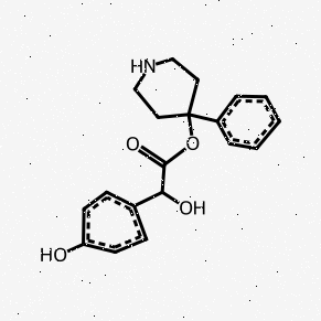 O=C(OC1(c2ccccc2)CCNCC1)C(O)c1ccc(O)cc1